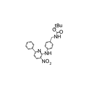 CC(C)(C)OC(=O)NCc1ccc(Nc2nc(-c3ccccc3)ccc2[N+](=O)[O-])cc1